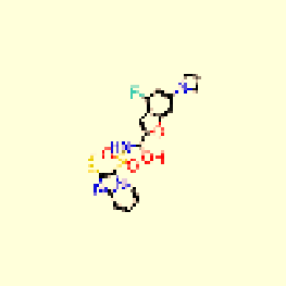 CSc1nc2ccccn2c1S(=O)(=O)NC(O)c1cc2c(F)cc(N3CCC3)cc2o1